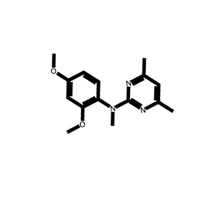 COc1ccc(N(C)c2nc(C)cc(C)n2)c(OC)c1